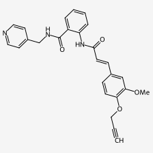 C#CCOc1ccc(/C=C/C(=O)Nc2ccccc2C(=O)NCc2ccncc2)cc1OC